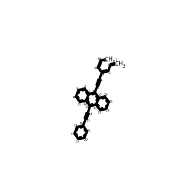 C=C/C=C(C#Cc1c2ccccc2c(C#Cc2ccccc2)c2ccccc12)\C=C/C